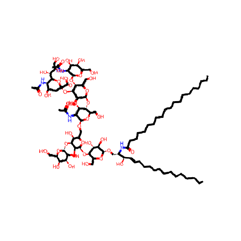 CCCCCCCCCCCCC/C=C/[C@@H](O)[C@H](CO[C@@H]1OC(CO)[C@@H](O[C@@H]2OC(CO[C@@H]3OC(CO)[C@@H](O[C@@H]4OC(CO)[C@H](O[C@@H]5OC(CO)[C@H](O)[C@H](O)C5NC(C)=O)[C@H](O[C@]5(C(=O)O)CC(O)[C@@H](NC(C)=O)C([C@H](O)[C@H](O)CO)O5)C4O)[C@H](O)C3NC(C)=O)[C@H](O)[C@H](O[C@H]3OC(CO)[C@H](O)[C@H](O)C3O)C2O)[C@H](O)C1O)NC(=O)CCCCCCCCCCCCCCCCCCC